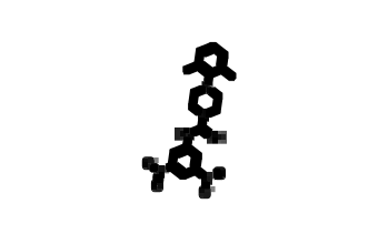 Cc1cccc(C)c1N1CCN(C(=N)Nc2cc([N+](=O)[O-])cc([N+](=O)[O-])c2)CC1